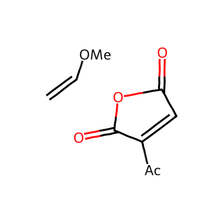 C=COC.CC(=O)C1=CC(=O)OC1=O